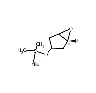 CC(C)(C)[Si](C)(C)OC1CC2O[C@@H]2C1